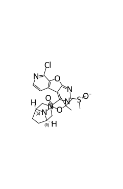 C[S+]([O-])c1nc(N2C[C@H]3CC[C@@H](C2)N3C(=O)OC(C)(C)C)c2c(n1)oc1c(Cl)nccc12